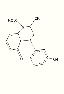 N#Cc1cccc(C2CC(C(F)(F)F)N(C(=O)O)C3=CC=CC(=O)C32)c1